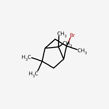 CC1(C)CC2C(C)(Br)CC1C2(C)C